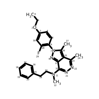 CCOc1ccc(-n2nc3c(N(C)CCc4ccccc4)nnc(C)c3c2C)c(F)c1